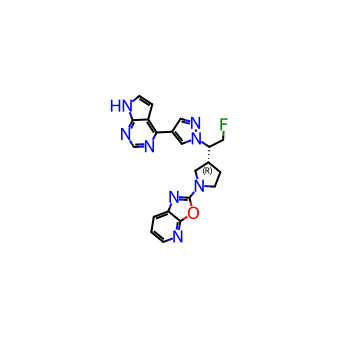 FCC([C@@H]1CCN(c2nc3cccnc3o2)C1)n1cc(-c2ncnc3[nH]ccc23)cn1